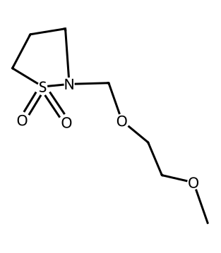 COCCOCN1CCCS1(=O)=O